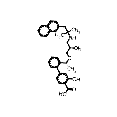 C[C@@H](OC[C@H](O)CNC(C)(C)Cc1ccc2ccccc2c1)c1ccccc1-c1ccc(C(=O)O)c(O)c1